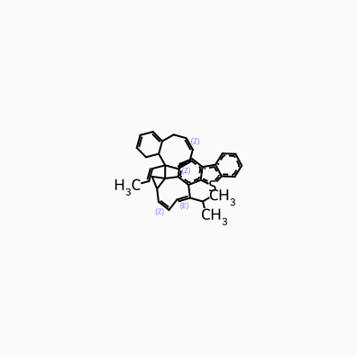 CC=CC1(C23CC2/C=C\C=C(/C(C)C)c2c3ccc3c2sc2ccccc23)/C=C\C=C/CC2=CC=CCC21